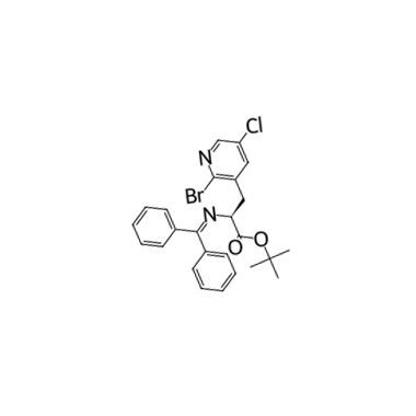 CC(C)(C)OC(=O)[C@H](Cc1cc(Cl)cnc1Br)N=C(c1ccccc1)c1ccccc1